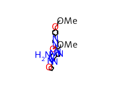 COCCOc1ccc(N2CCN(C(=O)C(COC)n3ncc4c3nc(N)n3nc(-c5ccco5)nc43)CC2)cc1